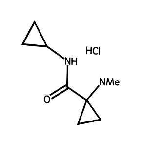 CNC1(C(=O)NC2CC2)CC1.Cl